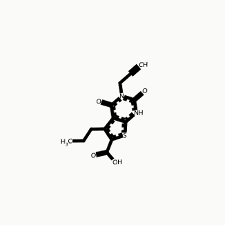 C#CCn1c(=O)[nH]c2sc(C(=O)O)c(CCC)c2c1=O